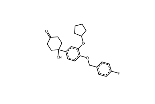 N#CC1(c2ccc(OCc3ccc(F)cc3)c(OC3CCCC3)c2)CCC(=O)CC1